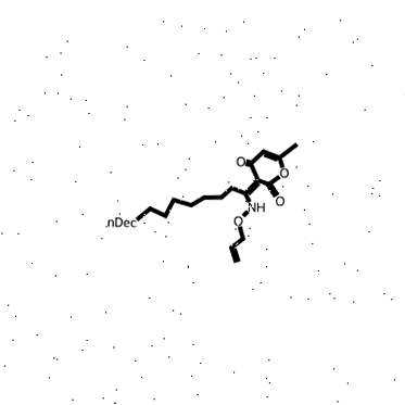 C=CCONC(CCCCCCCCCCCCCCCCC)=C1C(=O)C=C(C)OC1=O